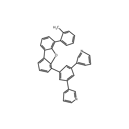 Cc1ccccc1-c1cccc2c1oc1c(-c3cc(-c4cccnc4)cc(-c4cccnc4)c3)cccc12